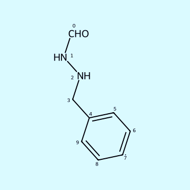 O=CNNCc1cc[c]cc1